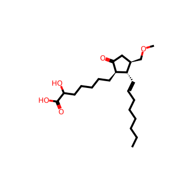 CCCCCCC=C[C@H]1[C@H](COC)CC(=O)[C@@H]1CCCCCC(O)C(=O)O